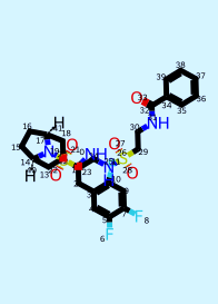 NC(Cc1cc(F)c(F)cc1F)[C@@H]1C[C@H]2CC[C@@H](C1)N2S(=O)(=O)CCNS(=O)(=O)CCNC(=O)c1ccccc1